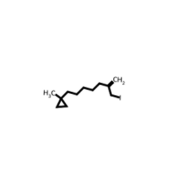 C=C(CI)CCCCCC1(C)CC1